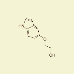 OCCOc1ccc2[nH][c]nc2c1